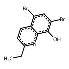 CCc1ccc2c(Br)cc(Br)c(O)c2n1